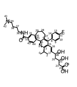 CC(C)c1nc2c(c(-c3ccc(F)cc3)c1/C=C/[C@@H](O)C[C@@H](O)CC(=O)O)CCCc1cc(C(=O)NCCCCN(C)C)ccc1-2